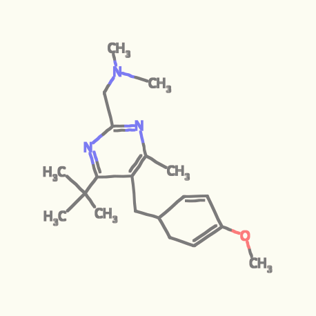 COC1=CCC(Cc2c(C)nc(CN(C)C)nc2C(C)(C)C)C=C1